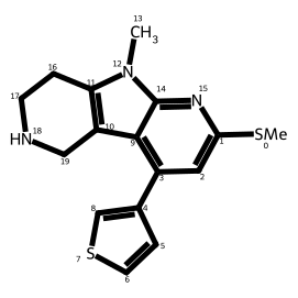 CSc1cc(-c2ccsc2)c2c3c(n(C)c2n1)CCNC3